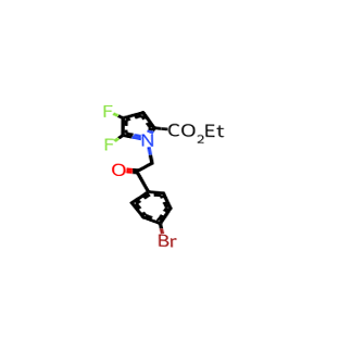 CCOC(=O)c1cc(F)c(F)n1CC(=O)c1ccc(Br)cc1